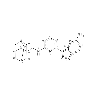 Nc1ccc2ncc(-c3nccc(NCC45CC6CC(CC(C6)C4)C5)n3)n2c1